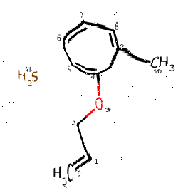 C=CCOc1ccccc1C.S